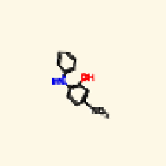 O=[N+]([O-])c1ccc(Nc2ccccc2)c(O)c1